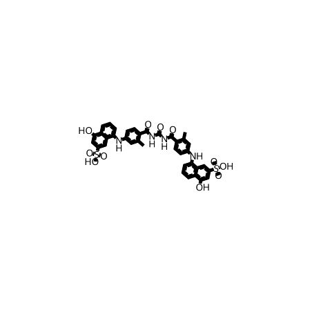 Cc1cc(Nc2cccc3c(O)cc(S(=O)(=O)O)cc23)ccc1C(=O)NC(=O)NC(=O)c1ccc(Nc2cccc3c(O)cc(S(=O)(=O)O)cc23)cc1C